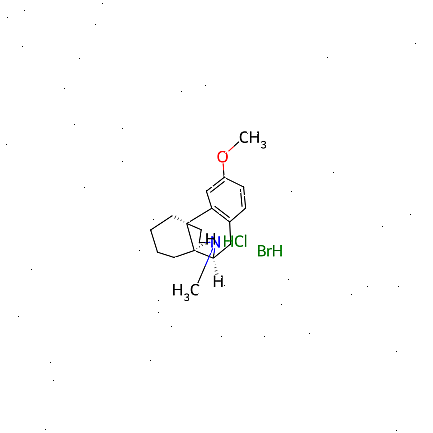 Br.COc1ccc2c(c1)[C@]13CCCC[C@@H]1[C@H](C2)N(C)CC3.Cl